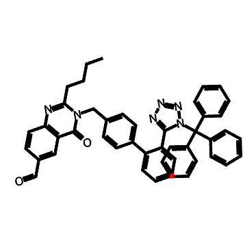 CCCCc1nc2ccc(C=O)cc2c(=O)n1Cc1ccc(-c2ccccc2-c2nnnn2C(c2ccccc2)(c2ccccc2)c2ccccc2)cc1